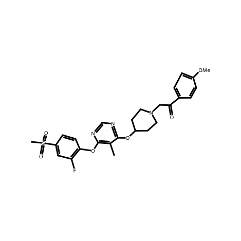 COc1ccc(C(=O)CN2CCC(Oc3ncnc(Oc4ccc(S(C)(=O)=O)cc4F)c3C)CC2)cc1